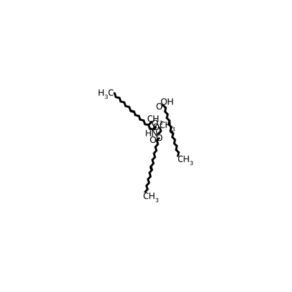 CCCCCCCCC=CCCCCCCCC(=O)O.CCCCCCCCC=CCCCCCCCC(=O)OC(CCC)NC(=O)CC(CCCCCC=CCCCCCCCC)C(C)=O